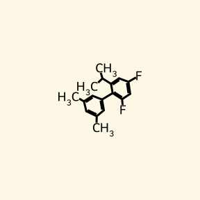 Cc1cc(C)cc(-c2c(F)cc(F)cc2C(C)C)c1